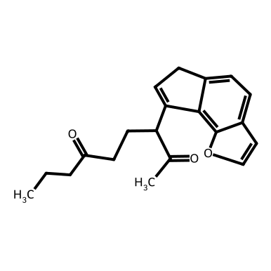 CCCC(=O)CCC(C(C)=O)C1=CCc2ccc3ccoc3c21